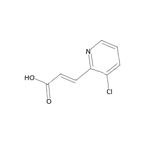 O=C(O)/C=C/c1ncccc1Cl